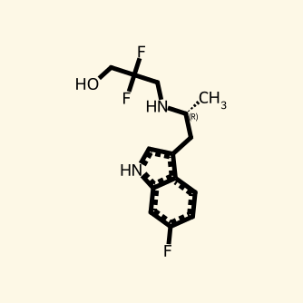 C[C@H](Cc1c[nH]c2cc(F)ccc12)NCC(F)(F)CO